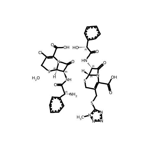 Cn1nnnc1SCC1=C(C(=O)O)N2C(=O)[C@@H](NC(=O)[C@H](O)c3ccccc3)[C@H]2SC1.N[C@@H](C(=O)N[C@@H]1C(=O)N2C(C(=O)O)=C(Cl)CS[C@H]12)c1ccccc1.O